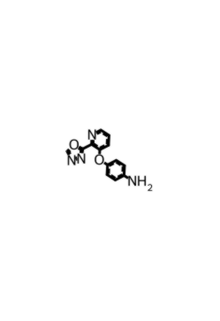 Nc1ccc(Oc2cccnc2-c2nnco2)cc1